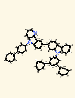 c1ccc(-c2ccc(-n3c4ccc(-c5ccc6c7ccccc7n(-c7cc(-c8ccccc8)cc(-c8ccccc8)c7)c6c5)cc4c4ncccc43)cc2)cc1